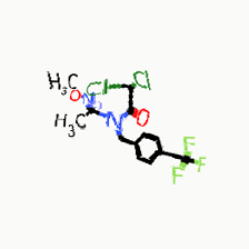 CO/N=C(\C)N(Cc1ccc(C(F)(F)F)cc1)C(=O)C(Cl)Cl